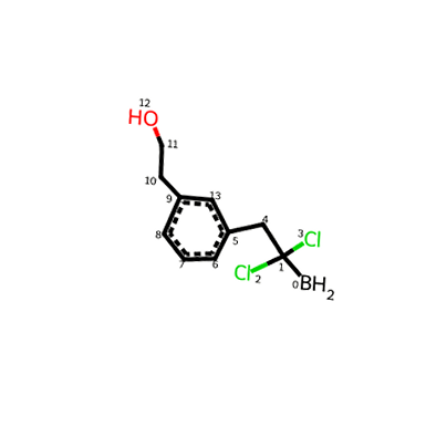 BC(Cl)(Cl)Cc1cccc(CCO)c1